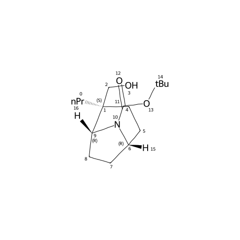 CCC[C@]1(CO)CC[C@@H]2CC[C@H]1N2C(=O)OC(C)(C)C